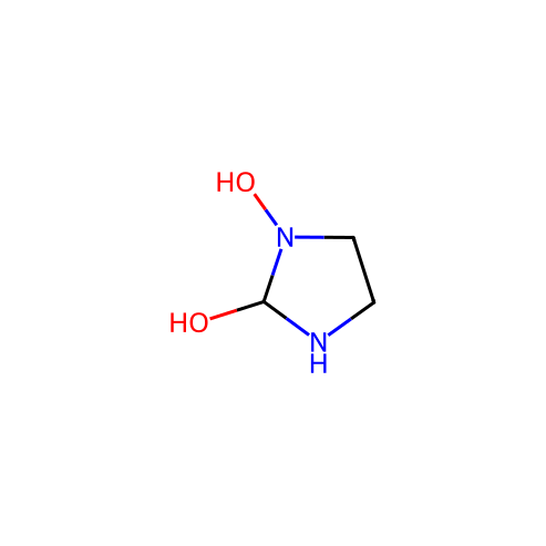 OC1NCCN1O